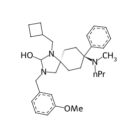 CCCN(C)[C@]1(c2ccccc2)CC[C@]2(CC1)CN(Cc1cccc(OC)c1)C(O)N2CC1CCC1